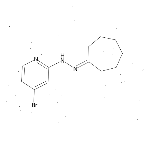 Brc1ccnc(NN=C2CCCCCC2)c1